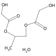 CC(COC(=O)CO)OC(=O)CO.O